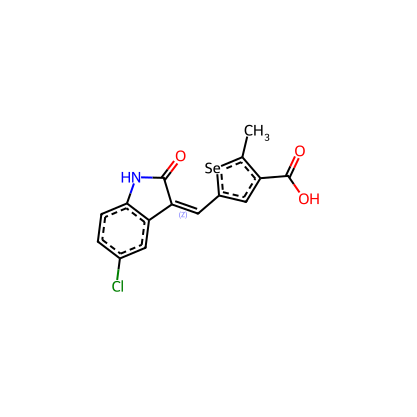 Cc1[se]c(/C=C2\C(=O)Nc3ccc(Cl)cc32)cc1C(=O)O